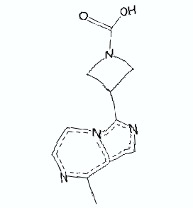 Cc1nccn2c(C3CN(C(=O)O)C3)ncc12